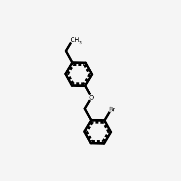 CCc1ccc(OCc2ccccc2Br)cc1